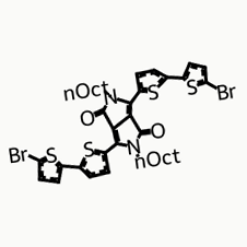 CCCCCCCCN1C(=O)C2=C(c3ccc(-c4ccc(Br)s4)s3)N(CCCCCCCC)C(=O)C2=C1c1ccc(-c2ccc(Br)s2)s1